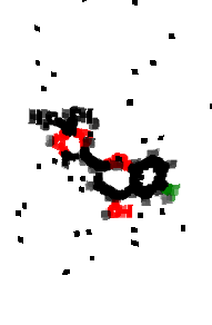 CC1(C)OC[C@@H]([C@H]2C[C@@H](O)c3cc(F)ccc3O2)O1